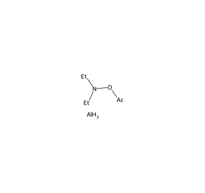 CCN(CC)OC(C)=O.[AlH3]